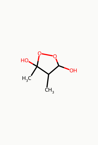 CC1C(O)OOC1(C)O